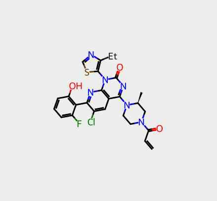 C=CC(=O)N1CCN(c2nc(=O)n(-c3scnc3CC)c3nc(-c4c(O)cccc4F)c(Cl)cc23)[C@@H](C)C1